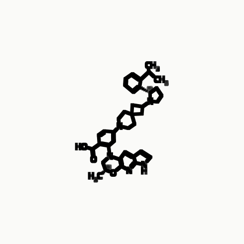 CC(C)c1ccccc1[C@@H]1CCCN1C1CC2(CCN(c3ccc(C(=O)O)c(N4C[C@@H](C)Oc5nc6[nH]ccc6cc54)c3)CC2)C1